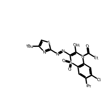 CCC(=O)N1C(O)=C(N=Nc2nc(C(C)(C)C)cs2)S(=O)(=O)c2cc(C(C)C)c(Cl)cc21